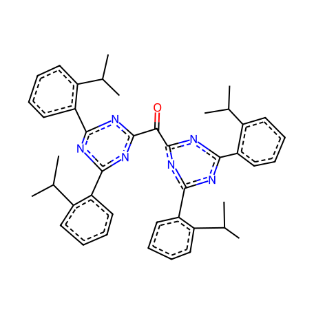 CC(C)c1ccccc1-c1nc(C(=O)c2nc(-c3ccccc3C(C)C)nc(-c3ccccc3C(C)C)n2)nc(-c2ccccc2C(C)C)n1